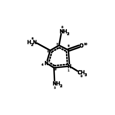 Cn1c(N)nc(N)c(N)c1=O